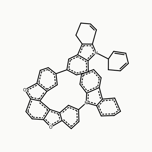 C1=CCC(n2c3c(c4cc(-c5ccc6oc7ccc8oc9ccc(-n%10c%11ccccc%11c%11ccccc%11%10)cc9c8c7c6c5)ccc42)CCC=C3)C=C1